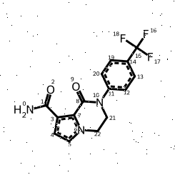 NC(=O)c1ccn2c1C(=O)N(c1ccc(C(F)(F)F)cc1)CC2